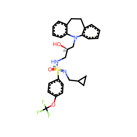 O=[S@@](=NCC1CC1)(NC[C@@H](O)CN1c2ccccc2CCc2ccccc21)c1ccc(OC(F)(F)F)cc1